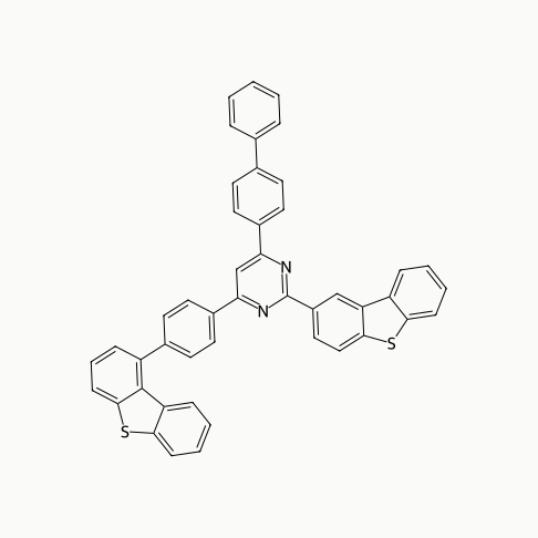 c1ccc(-c2ccc(-c3cc(-c4ccc(-c5cccc6sc7ccccc7c56)cc4)nc(-c4ccc5sc6ccccc6c5c4)n3)cc2)cc1